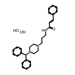 Cl.Cl.O=C(C=Cc1ccccc1)NCCCN1CCN(C(c2ccccc2)c2ccccc2)CC1